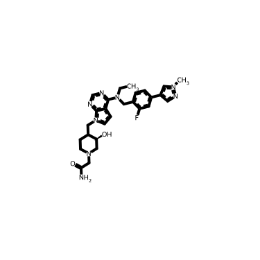 CCN(Cc1ccc(-c2cnn(C)c2)cc1F)c1ncnc2c1ccn2CC1CCN(CC(N)=O)C[C@@H]1O